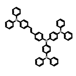 C(=Cc1ccc(N(c2ccc(N(c3ccccc3)c3ccccc3)cc2)c2ccc(N(c3ccccc3)c3ccccc3)cc2)cc1)c1ccc(N(c2ccccc2)c2ccccc2)cc1